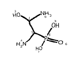 NC(O)C(N)P(=O)(O)O